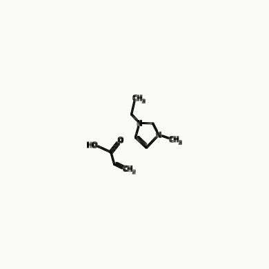 C=CC(=O)O.CCN1C=CN(C)C1